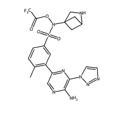 Cc1ccc(S(=O)(=O)N(OC(=O)C(F)(F)F)C23CNC(C2)C3)cc1-c1cnc(N)c(-n2ccnn2)n1